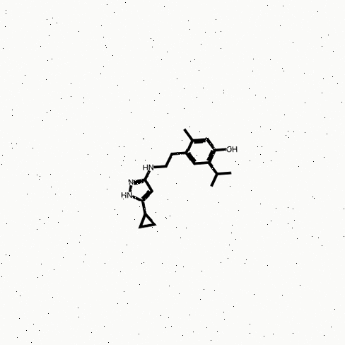 Cc1cc(O)c(C(C)C)cc1CCNc1cc(C2CC2)[nH]n1